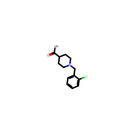 CCCC(=O)C1CCN(Cc2ccccc2Cl)CC1